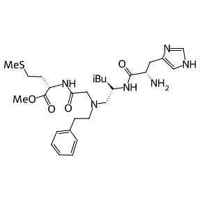 CC[C@H](C)[C@@H](CN(CCc1ccccc1)CC(=O)N[C@@H](CCSC)C(=O)OC)NC(=O)[C@@H](N)Cc1c[nH]cn1